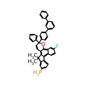 CC1(C)c2cc(P)ccc2-c2c1c1c(c3cc(F)ccc23)OC(c2ccccc2)(c2ccc(-c3cccc(-c4ccccc4)c3)cc2)C=C1